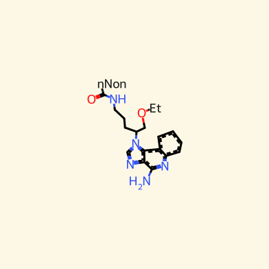 CCCCCCCCCC(=O)NCCCC(COCC)n1cnc2c(N)nc3ccccc3c21